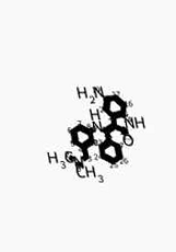 CN(C)Cc1cccc(NC(=C2C(=O)Nc3ccc(N)cc32)c2ccccc2)c1